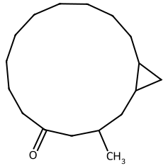 CC1CC(=O)CCCCCCCCCC2CC2C1